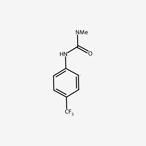 CNC(=O)Nc1[c]cc(C(F)(F)F)cc1